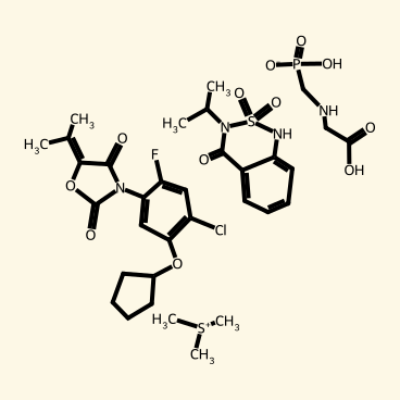 CC(C)=C1OC(=O)N(c2cc(OC3CCCC3)c(Cl)cc2F)C1=O.CC(C)N1C(=O)c2ccccc2NS1(=O)=O.C[S+](C)C.O=C(O)CNCP(=O)([O-])O